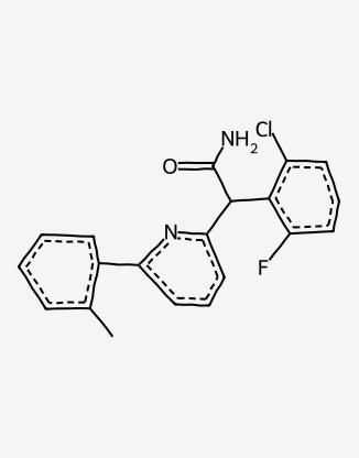 Cc1ccccc1-c1cccc(C(C(N)=O)c2c(F)cccc2Cl)n1